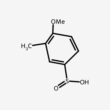 COc1ccc(S(=O)O)cc1C